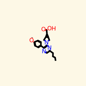 CCCCc1cnc(-c2ccc(OC)cc2)c(N2CC3C(C2)C3C(=O)O)n1